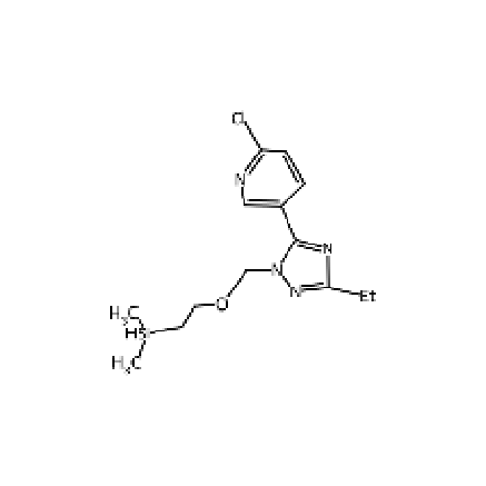 CCc1nc(-c2ccc(Cl)nc2)n(COCC[SiH](C)C)n1